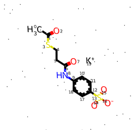 CC(=O)SCCC(=O)Nc1ccc(S(=O)(=O)[O-])cc1.[K+]